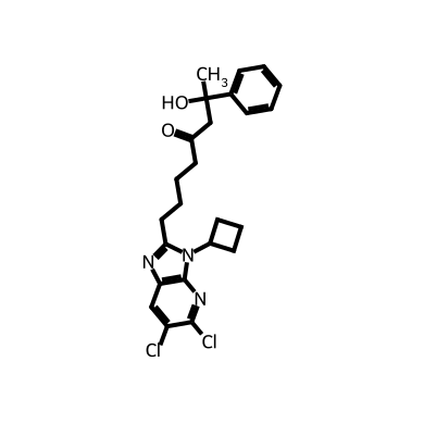 CC(O)(CC(=O)CCCCc1nc2cc(Cl)c(Cl)nc2n1C1CCC1)c1ccccc1